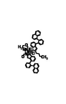 CCCCC1=Cc2c(-c3ccccc3-c3cccc4ccccc34)cccc2[CH]1[Hf]([Cl])([Cl])([B](NC=O)NC=O)[CH]1C(CCCC)=Cc2c(-c3ccccc3-c3cccc4ccccc34)cccc21